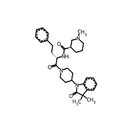 CN1CCC[C@@H](C(=O)N[C@@H](CCc2ccccc2)C(=O)N2CCC(N3C(=O)C(C)(C)c4ccccc43)CC2)C1